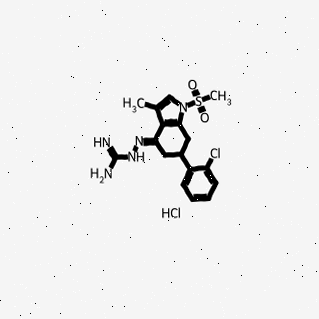 Cc1cn(S(C)(=O)=O)c2c1/C(=N/NC(=N)N)CC(c1ccccc1Cl)C2.Cl